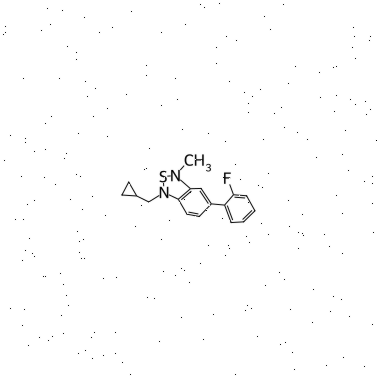 CN1SN(CC2CC2)c2ccc(-c3ccccc3F)cc21